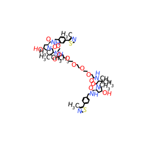 CC(=O)NC(C(=O)N1C[C@H](O)C[C@H]1C(=O)NCc1ccc(-c2scnc2C)cc1OCCOCCOCCOCCOCCOCC(=O)NC(C(=O)N1C[C@H](O)C[C@H]1C(=O)NCc1ccc(-c2scnc2C)cc1)C(C)(C)C)C(C)(C)C